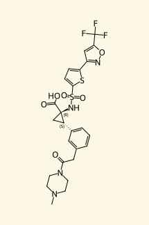 CN1CCN(C(=O)Cc2cccc([C@@H]3C[C@]3(NS(=O)(=O)c3ccc(-c4cc(C(F)(F)F)on4)s3)C(=O)O)c2)CC1